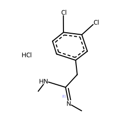 C/N=C(\Cc1ccc(Cl)c(Cl)c1)NC.Cl